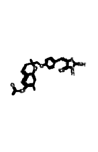 CC(=O)Oc1cc2c(cc1C)OC(C)(COc1ccc(CC3SC(=N)NC3=O)cc1)CC2